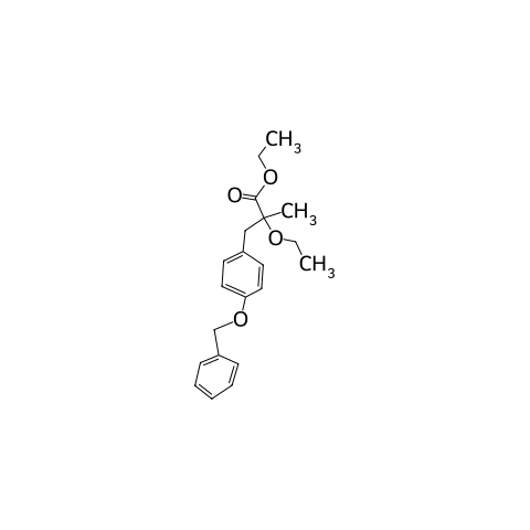 CCOC(=O)C(C)(Cc1ccc(OCc2ccccc2)cc1)OCC